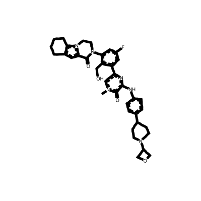 Cn1cc(-c2cc(F)cc(N3CCn4c(cc5c4CCCC5)C3=O)c2CO)nc(Nc2ccc(C3CCN(C4COC4)CC3)cc2)c1=O